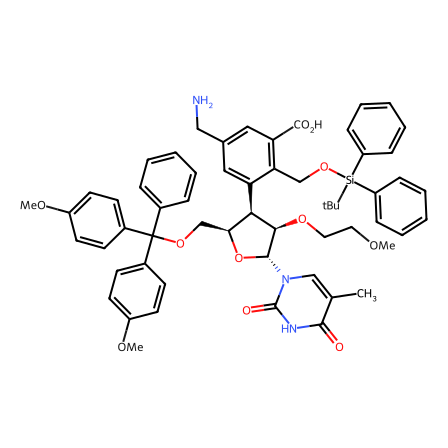 COCCO[C@@H]1[C@H](c2cc(CN)cc(C(=O)O)c2CO[Si](c2ccccc2)(c2ccccc2)C(C)(C)C)[C@H](COC(c2ccccc2)(c2ccc(OC)cc2)c2ccc(OC)cc2)O[C@H]1n1cc(C)c(=O)[nH]c1=O